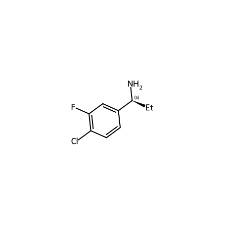 CC[C@H](N)c1ccc(Cl)c(F)c1